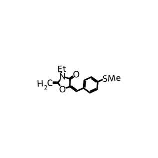 C=c1o/c(=C/c2ccc(SC)cc2)c(=O)n1CC